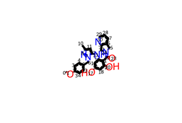 COc1ccc(Cn2nc(C)cc2Nc2cc(O)cc(O)c2C(=O)N2Cc3cccnc3C2)cc1